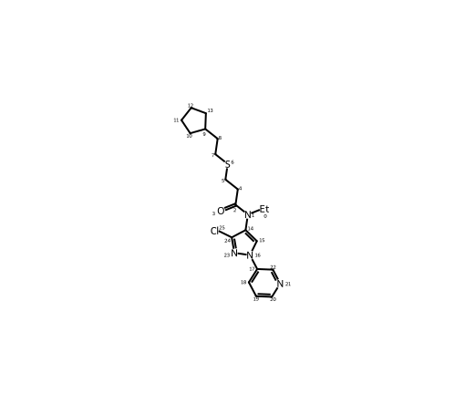 CCN(C(=O)CCSCCC1CCCC1)c1cn(-c2cccnc2)nc1Cl